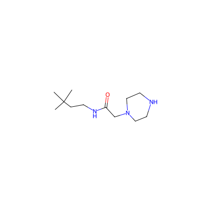 CC(C)(C)CCNC(=O)CN1CCNCC1